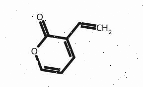 C=Cc1cccoc1=O